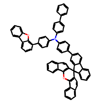 c1ccc(-c2ccc(N(c3ccc(-c4ccc5c(c4)C4(c6ccccc6-5)c5ccc6ccccc6c5Oc5c4ccc4ccccc54)cc3)c3ccc(-c4cccc5c4oc4ccccc45)cc3)cc2)cc1